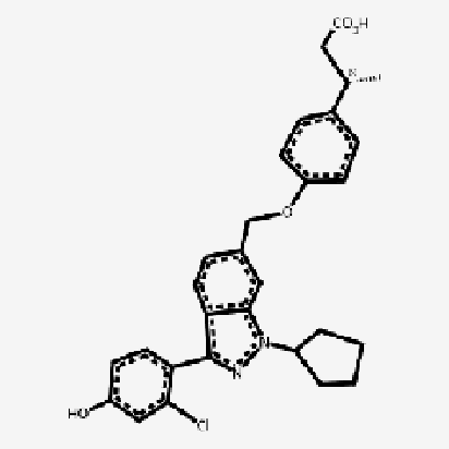 C[C@@H](CC(=O)O)c1ccc(OCc2ccc3c(-c4ccc(O)cc4Cl)nn(C4CCCC4)c3c2)cc1